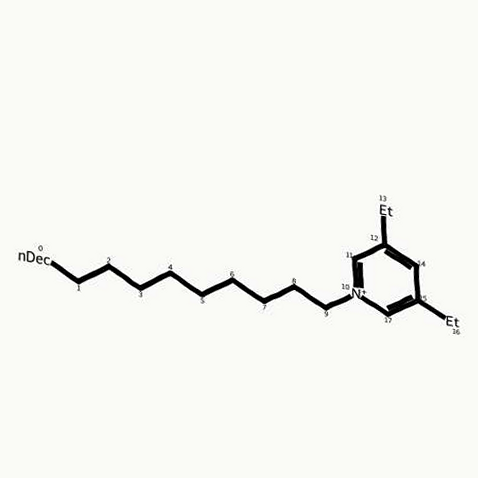 CCCCCCCCCCCCCCCCCCC[n+]1cc(CC)cc(CC)c1